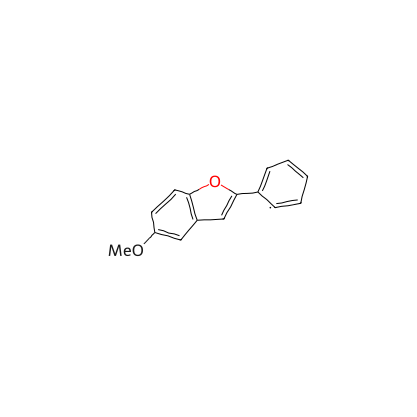 COc1ccc2oc(-c3[c]cccc3)cc2c1